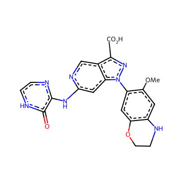 COc1cc2c(cc1-n1nc(C(=O)O)c3cnc(Nc4ncc[nH]c4=O)cc31)OCCN2